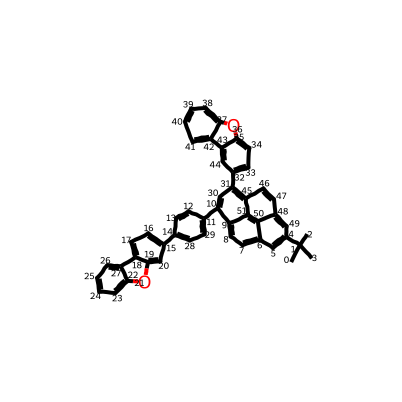 CC(C)(C)c1cc2ccc3c(-c4ccc(-c5ccc6c(c5)oc5ccccc56)cc4)cc(-c4ccc5oc6ccccc6c5c4)c4ccc(c1)c2c34